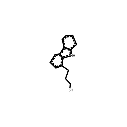 SCCCc1cccc2c1[nH]c1ccccc12